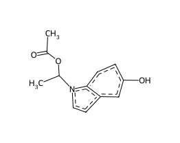 CC(=O)OC(C)n1ccc2cc(O)ccc21